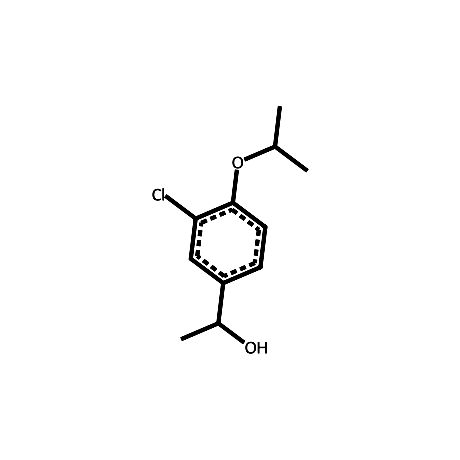 CC(C)Oc1ccc(C(C)O)cc1Cl